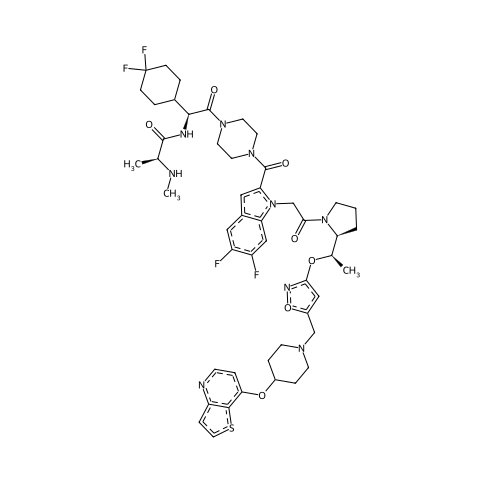 CN[C@@H](C)C(=O)N[C@H](C(=O)N1CCN(C(=O)c2cc3cc(F)c(F)cc3n2CC(=O)N2CCC[C@H]2[C@@H](C)Oc2cc(CN3CCC(Oc4ccnc5ccsc45)CC3)on2)CC1)C1CCC(F)(F)CC1